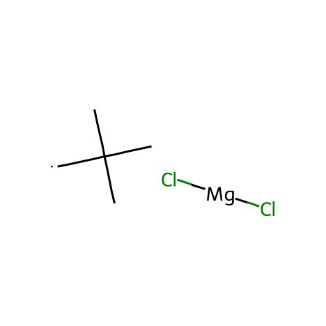 [CH2]C(C)(C)C.[Cl][Mg][Cl]